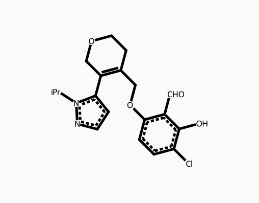 CC(C)n1nccc1C1=C(COc2ccc(Cl)c(O)c2C=O)CCOC1